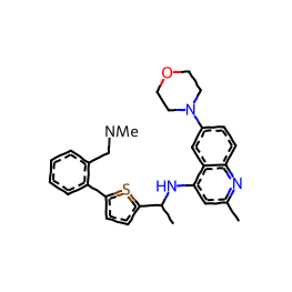 CNCc1ccccc1-c1ccc(C(C)Nc2cc(C)nc3ccc(N4CCOCC4)cc23)s1